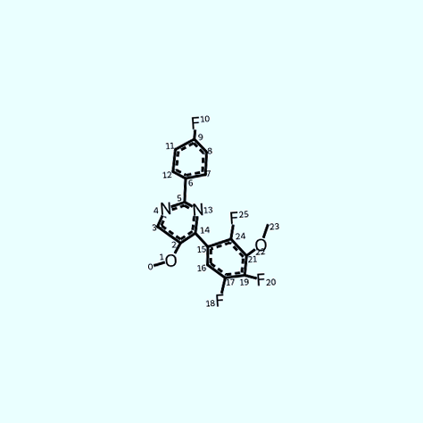 COc1cnc(-c2ccc(F)cc2)nc1-c1cc(F)c(F)c(OC)c1F